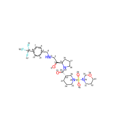 O=C(CNCc1ccc(C(F)(F)F)cc1)[C@H]1CCCN1C(=O)[C@H]1CCCN(S(=O)(=O)N2CCCOC2)C1